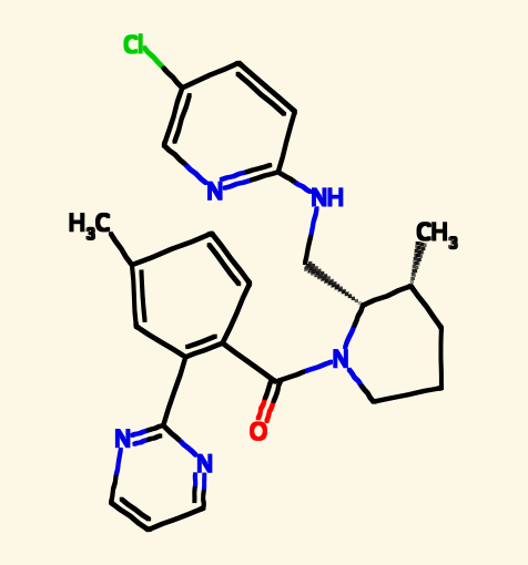 Cc1ccc(C(=O)N2CCC[C@@H](C)[C@H]2CNc2ccc(Cl)cn2)c(-c2ncccn2)c1